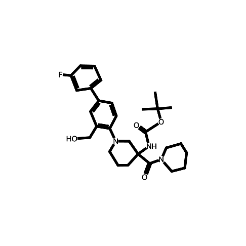 CC(C)(C)OC(=O)NC1(C(=O)N2CCCCC2)CCCN(c2ccc(-c3cccc(F)c3)cc2CO)C1